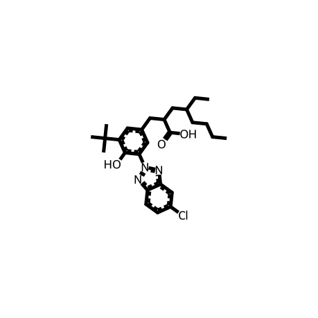 CCCCC(CC)CC(Cc1cc(-n2nc3ccc(Cl)cc3n2)c(O)c(C(C)(C)C)c1)C(=O)O